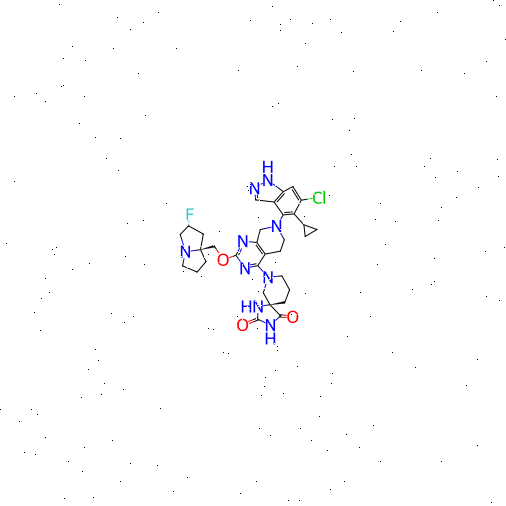 O=C1NC(=O)[C@]2(CCCN(c3nc(OC[C@@]45CCCN4C[C@H](F)C5)nc4c3CCN(c3c(C5CC5)c(Cl)cc5[nH]ncc35)C4)C2)N1